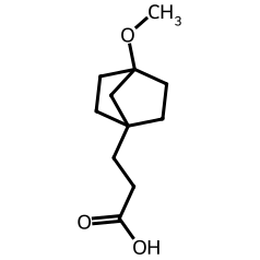 COC12CCC(CCC(=O)O)(CC1)C2